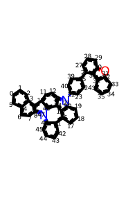 c1ccc2c(c1)ccc1c2c2ccc3c4c5c(cccc5n3-c3ccc(-c5cccc6oc7ccccc7c56)cc3)c3ccccc3n1c24